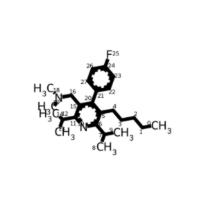 CCCCCc1c(C(C)C)nc(C(C)C)c(CN(C)C)c1-c1ccc(F)cc1